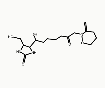 C=C1CCCON1CC(=O)CCCCC(S)C1NC(=O)NC1CO